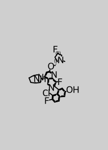 CN1C[C@H](F)C[C@H]1COc1cc(N2CC3CCC(C2)N3)c2cnc(-c3cc(O)cc4ccc(F)c(Cl)c34)c(F)c2n1